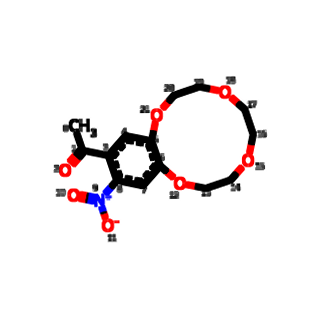 CC(=O)c1cc2c(cc1[N+](=O)[O-])OCCOCCOCCO2